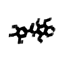 O=C(Nc1c(SF)c(SF)c(SF)c(SF)c1SF)c1cc(O)c(O)c(O)c1